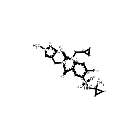 Cn1cc(Cn2c(=O)c3cc(S(=O)(=O)NC4(C)CC4)c(F)cc3n(CC3CC3)c2=O)cn1